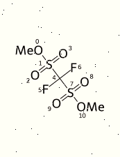 COS(=O)(=O)C(F)(F)S(=O)(=O)OC